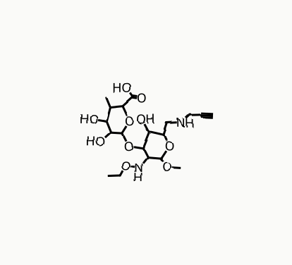 C#CCNCC1OC(OC)C(NOCC)C(OC2OC(C(=O)O)C(C)C(O)C2O)C1O